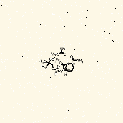 CCCC(=O)OC.CCOC(=O)C(C)(C)COS(=O)(=O)ON1C(=O)N2C[C@H]1CC[C@H]2C(N)=O